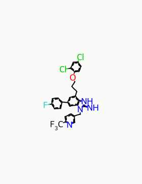 N=c1[nH]c2c(CCCOc3ccc(Cl)cc3Cl)cc(-c3ccc(F)cc3)cc2n1Cc1ccc(C(F)(F)F)nc1